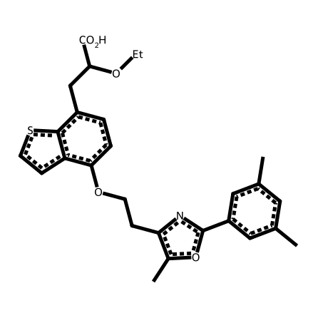 CCOC(Cc1ccc(OCCc2nc(-c3cc(C)cc(C)c3)oc2C)c2ccsc12)C(=O)O